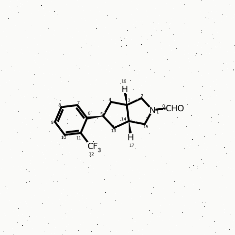 O=CN1C[C@H]2C[C@H](c3ccccc3C(F)(F)F)C[C@H]2C1